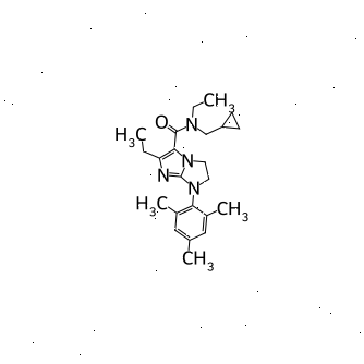 CCc1nc2n(c1C(=O)N(CC)CC1CC1)CCN2c1c(C)cc(C)cc1C